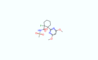 COc1cc(OC)nc(C2(O)CCCCC2(F)C(=O)NS(C)(=O)=O)n1